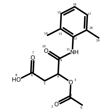 CC(=O)OC(CC(=O)O)C(=O)Nc1c(C)cccc1C